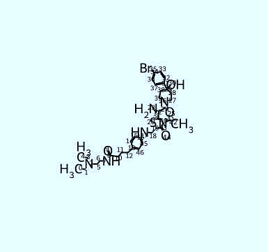 CCN(CC)CCNC(=O)CCCc1ccc(NC[C@H]2SC([C@H](N)C(=O)N3CCC(O)(c4ccc(Br)cc4)CC3)N(CC)C2=O)cc1